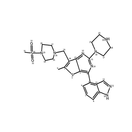 Cc1sc2c(-c3cccc4[nH]ncc34)nc(N3CCNCC3)nc2c1CN1CCN(S(C)(=O)=O)CC1